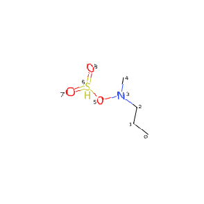 CCCN(C)O[SH](=O)=O